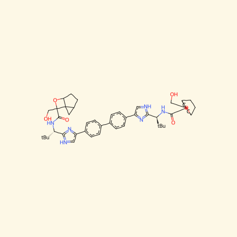 CC(C)(C)[C@H](NC(=O)C1(CO)OC2CCC1CC2)c1nc(-c2ccc(-c3ccc(-c4c[nH]c([C@@H](NC(=O)C5(CO)OC6CCC7CC765)C(C)(C)C)n4)cc3)cc2)c[nH]1